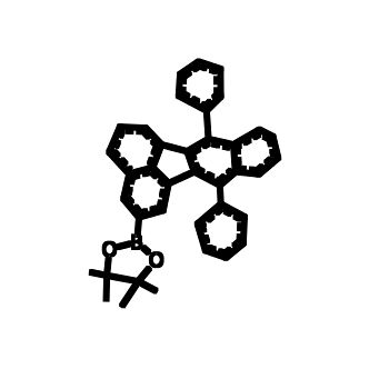 CC1(C)OB(c2cc3c4c(cccc4c2)-c2c-3c(-c3ccccc3)c3ccccc3c2-c2ccccc2)OC1(C)C